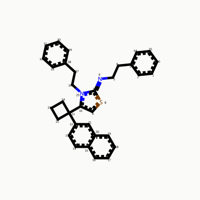 c1ccc(CCN=c2scc(C3(c4ccc5ccccc5c4)CCC3)n2CCc2ccccc2)cc1